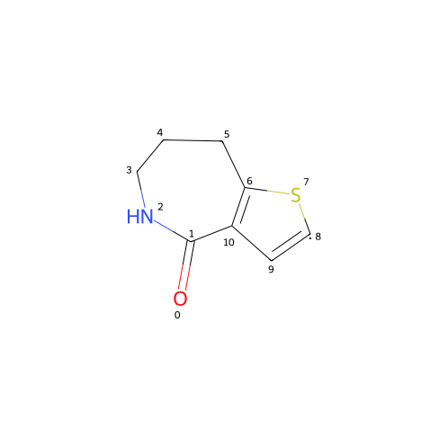 O=C1NCCCc2s[c]cc21